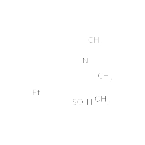 CCC(CN(C)C)S(=O)(=O)O.O